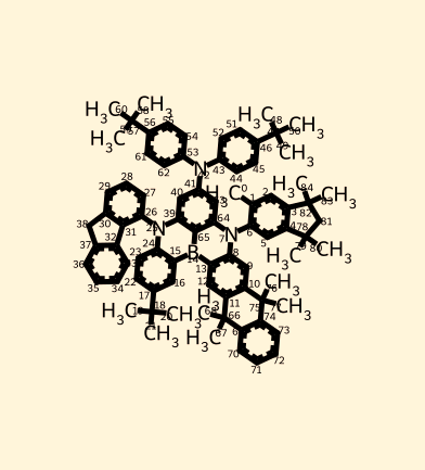 Cc1cc2c(cc1N1c3cc4c(cc3B3c5cc(C(C)(C)C)ccc5N(c5cccc6c5-c5ccccc5C6)c5cc(N(c6ccc(C(C)(C)C)cc6)c6ccc(C(C)(C)C)cc6)cc1c53)C(C)(C)c1ccccc1C4(C)C)C(C)(C)CC2(C)C